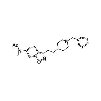 CC(=O)N(C)c1ccc2c(CCC3CCN(Cc4ccccc4)CC3)noc2c1